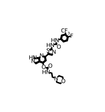 O=C(Nc1ccc(F)c(C(F)(F)F)c1)Nc1ncc(-c2cc(OC(=O)NCCN3CCOCC3)c3cn[nH]c3n2)s1